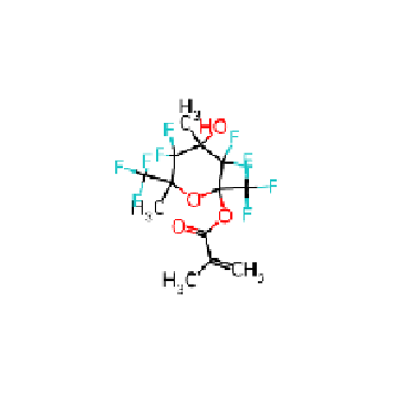 C=C(C)C(=O)OC1(C(F)(F)F)OC(C)(C(F)(F)F)C(F)(F)C(C)(O)C1(F)F